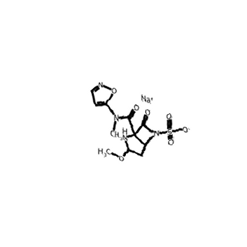 COC1CC2N(S(=O)(=O)[O-])C(=O)C2(C(=O)N(C)c2ccno2)N1.[Na+]